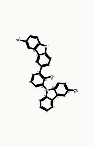 N#Cc1ccc2oc3ccc(-c4cccc(-n5c6ccccc6c6cc(C#N)ccc65)c4C#N)cc3c2c1